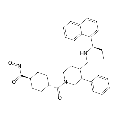 CC[C@@H](NCC1CCN(C(=O)[C@H]2CC[C@H](C(=O)N=O)CC2)CC1c1ccccc1)c1cccc2ccccc12